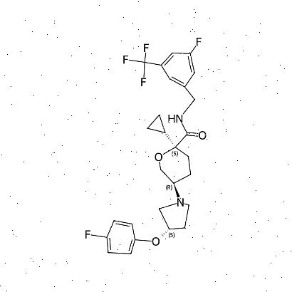 O=C(NCc1cc(F)cc(C(F)(F)F)c1)[C@@]1(C2CC2)CC[C@@H](N2CC[C@H](Oc3ccc(F)cc3)C2)CO1